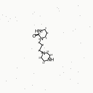 O=C1NCCCN1CCCN1CCNCC1